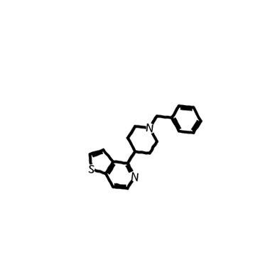 c1ccc(CN2CCC(c3nccc4sccc34)CC2)cc1